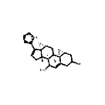 CC1C=C2CC(O)CC[C@]2(C)[C@@H]2CC[C@]3(C)C(c4ccc[nH]4)=CC[C@H]3[C@H]12